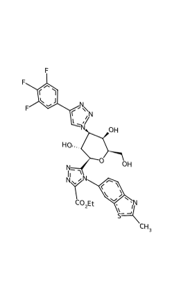 CCOC(=O)c1nnc([C@@H]2O[C@H](CO)[C@H](O)[C@H](n3cc(-c4cc(F)c(F)c(F)c4)nn3)[C@H]2O)n1-c1ccc2nc(C)sc2c1